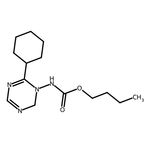 CCCCOC(=O)NN1CN=CN=C1C1CCCCC1